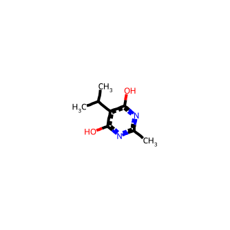 Cc1nc(O)c(C(C)C)c(O)n1